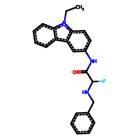 CCn1c2ccccc2c2cc(NC(=O)C(F)NCc3ccccc3)ccc21